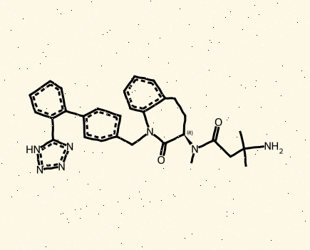 CN(C(=O)CC(C)(C)N)[C@@H]1CCc2ccccc2N(Cc2ccc(-c3ccccc3-c3nnn[nH]3)cc2)C1=O